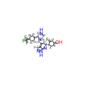 Cc1n[nH]c2nc(-c3ccc(O)cc3F)cc(CN3CCNC[C@H]3c3ccc(C(F)(F)F)cc3)c12